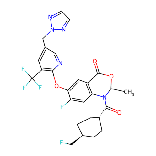 CC1OC(=O)c2cc(Oc3ncc(Cn4nccn4)cc3C(F)(F)F)c(F)cc2N1C(=O)[C@H]1CC[C@H](CF)CC1